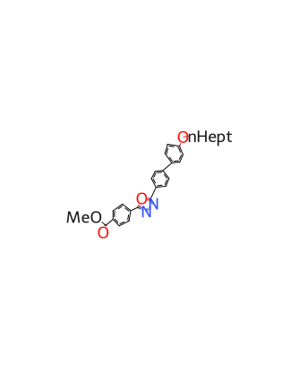 CCCCCCCOc1ccc(-c2ccc(-c3nnc(-c4ccc(C(=O)OC)cc4)o3)cc2)cc1